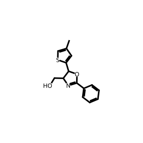 Cc1csc(C2OC(c3ccccc3)=NC2CO)c1